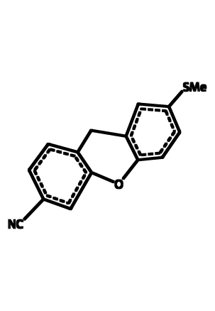 CSc1ccc2c(c1)Cc1ccc(C#N)cc1O2